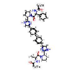 COC(=O)N[C@H](C(=O)N1CCCC1c1nc(-c2ccc(-c3ccc(-c4c[nH]c(C5C=CCN5C(=O)[C@H](NC(=O)OC)c5ccccc5)n4)cc3)cc2)c[nH]1)C(C)C